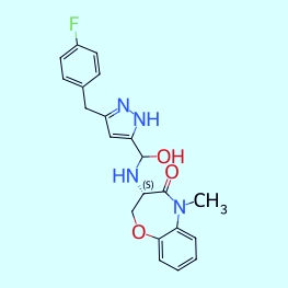 CN1C(=O)[C@@H](NC(O)c2cc(Cc3ccc(F)cc3)n[nH]2)COc2ccccc21